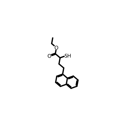 CCOC(=O)C(S)CCc1cccc2ccccc12